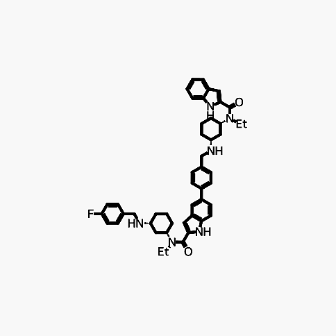 CCN(C(=O)c1cc2ccccc2[nH]1)[C@H]1CCC[C@@H](NCc2ccc(-c3ccc4[nH]c(C(=O)N(CC)[C@H]5CCC[C@@H](NCc6ccc(F)cc6)C5)cc4c3)cc2)C1